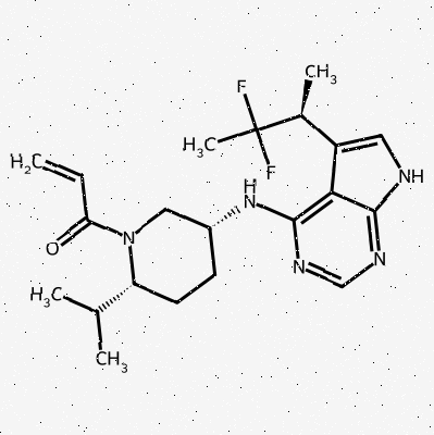 C=CC(=O)N1C[C@H](Nc2ncnc3[nH]cc([C@H](C)C(C)(F)F)c23)CC[C@@H]1C(C)C